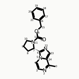 Cc1nccn2c([C@@H]3CCCN3C(=O)OCc3ccccc3)ncc12